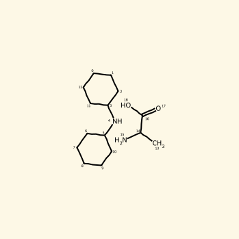 C1CCC(NC2CCCCC2)CC1.CC(N)C(=O)O